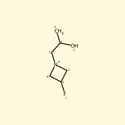 CC(O)CN1CC(F)C1